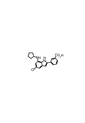 O=C(O)c1cccc(-c2cc3cc(Cl)cc(NC4CCCC4)c3[nH]2)c1